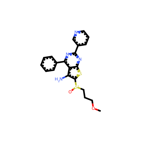 COCCC[S+]([O-])c1sc2nc(-c3cccnc3)nc(-c3ccccc3)c2c1N